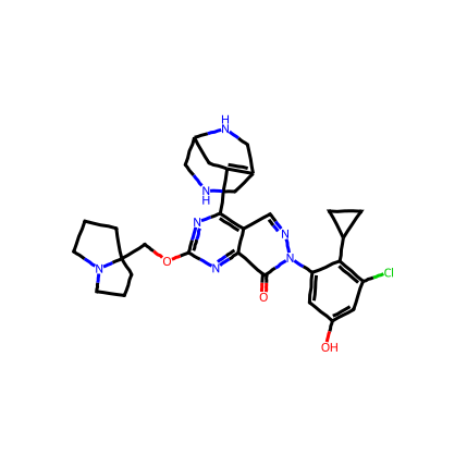 O=c1c2nc(OCC34CCCN3CCC4)nc(C3=C4CNCC(C3)NC4)c2cnn1-c1cc(O)cc(Cl)c1C1CC1